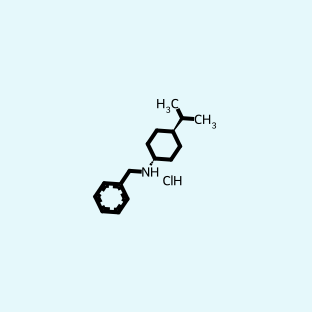 CC(C)[C@H]1CC[C@H](NCc2ccccc2)CC1.Cl